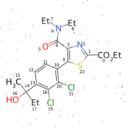 CCOC(=O)c1nc(C(=O)N(CC)CC)c(-c2ccc(C(C)(O)CC)c(Cl)c2Cl)s1